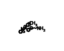 CN1CCC(OC(c2cccc(OCCCCN)c2)c2nc3ccccc3s2)CC1